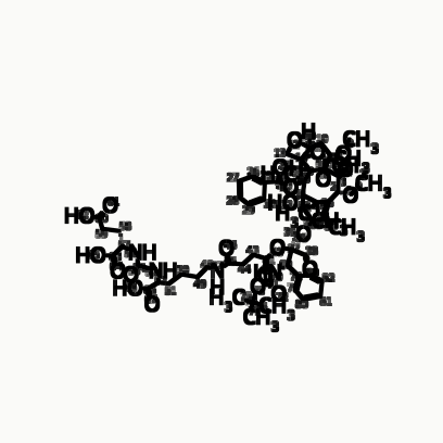 CO[C@H]1C(=O)[C@]2(C)[C@@H](OC)C[C@H]3OC[C@@]3(OC(C)=O)[C@H]2[C@@](C)(OC(=O)c2ccccc2)[C@]2(O)C[C@H](OC[C@@](C=O)(OC(=O)CCC(=O)NCCCC[C@H](NC(=O)N[C@@H](CCC(=O)O)C(=O)O)C(=O)O)[C@@H](NC(=O)OC(C)(C)C)c3ccccc3)C(C)=C1C2(C)C